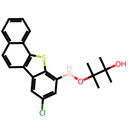 CC(C)(O)C(C)(C)OBc1cc(Cl)cc2c1sc1c3ccccc3ccc21